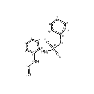 O=[C]Nc1ccccc1NS(=O)(=O)Cc1ccccc1